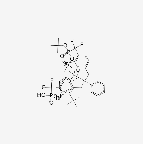 CC(C)(C)OP(=O)(OC(C)(C)C)C(F)(F)c1ccc(CC(Cc2c(C(C)(C)C)cc(C(F)(F)P(=O)(O)O)c(Br)c2C(C)(C)C)(C(=O)c2ccccc2)c2ccccc2)cc1Br